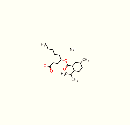 CCCCCC(CCC(=O)[O-])OC(=O)C1CC(C)CCC1C(C)C.[Na+]